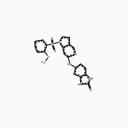 O=c1[nH]c2ccc(Nc3cc4c(ccn4S(=O)(=O)c4ccccc4OC(F)(F)F)cn3)cc2[nH]1